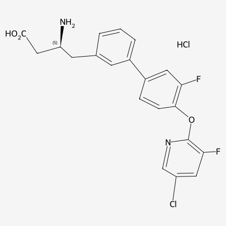 Cl.N[C@H](CC(=O)O)Cc1cccc(-c2ccc(Oc3ncc(Cl)cc3F)c(F)c2)c1